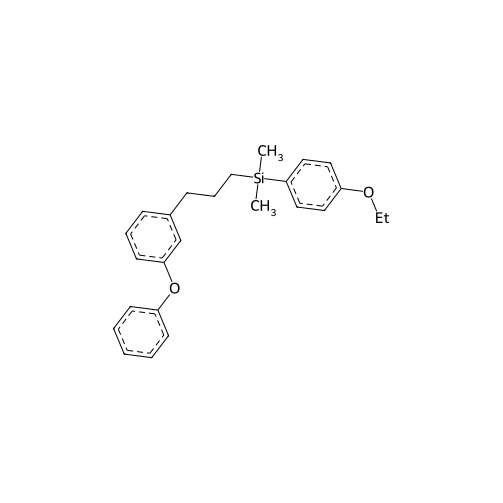 CCOc1ccc([Si](C)(C)CCCc2cccc(Oc3ccccc3)c2)cc1